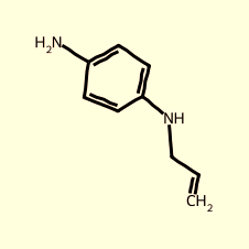 C=CCNc1ccc(N)cc1